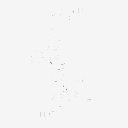 CC1=CCC(Cc2ccc3c(c2)c2ccccc2c2c4ccc(N(c5ccc6c(c5)C=CCC6)[C@H]5C=CC(C)=CC5)cc4oc32)C=C1